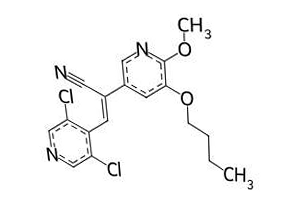 CCCCOc1cc(/C(C#N)=C/c2c(Cl)cncc2Cl)cnc1OC